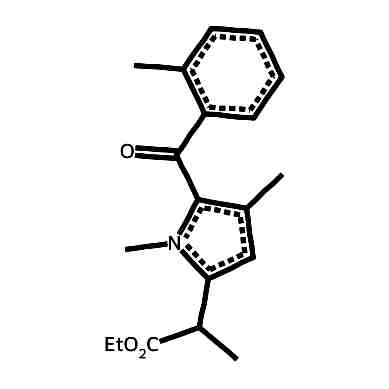 CCOC(=O)C(C)c1cc(C)c(C(=O)c2ccccc2C)n1C